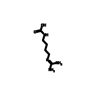 NC(N)=NCCCCNC(=O)O